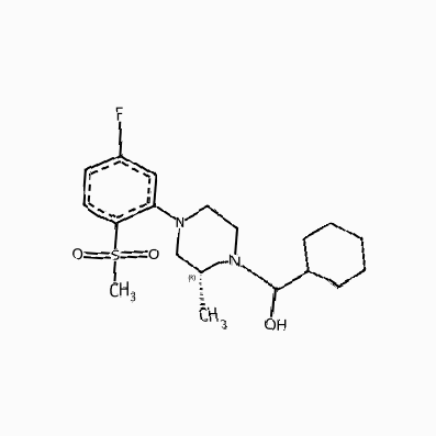 C[C@@H]1CN(c2cc(F)ccc2S(C)(=O)=O)CCN1C(O)C1CCCCC1